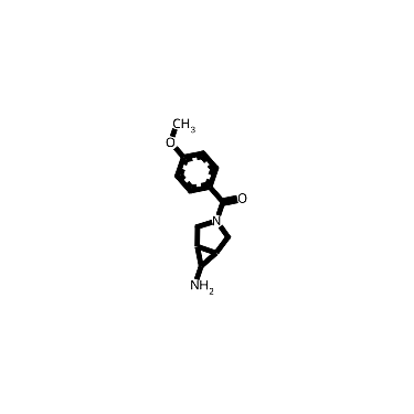 COc1ccc(C(=O)N2CC3C(N)C3C2)cc1